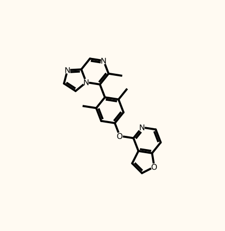 Cc1cc(Oc2nccc3occc23)cc(C)c1-c1c(C)ncc2nccn12